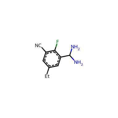 CCc1cc(C#N)c(F)c(C(N)N)c1